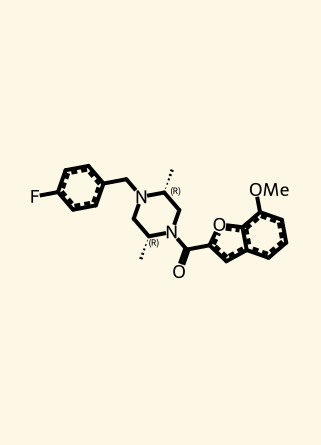 COc1cccc2cc(C(=O)N3C[C@@H](C)N(Cc4ccc(F)cc4)C[C@H]3C)oc12